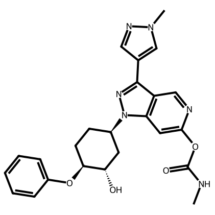 CNC(=O)Oc1cc2c(cn1)c(-c1cnn(C)c1)nn2[C@@H]1CC[C@H](Oc2ccccc2)[C@@H](O)C1